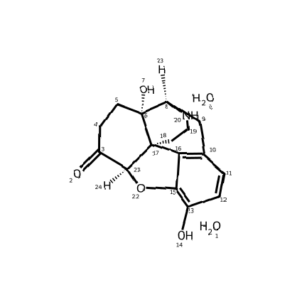 O.O.O=C1CC[C@@]2(O)[C@H]3Cc4ccc(O)c5c4[C@@]2(CCN3)[C@H]1O5